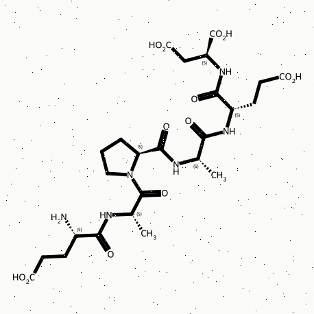 C[C@H](NC(=O)[C@@H]1CCCN1C(=O)[C@H](C)NC(=O)[C@@H](N)CCC(=O)O)C(=O)N[C@@H](CCC(=O)O)C(=O)N[C@@H](CC(=O)O)C(=O)O